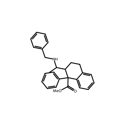 COC(=O)C1(c2ccccc2)c2ccccc2CCC1C(C)NCc1ccccc1